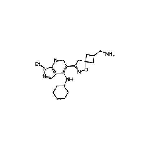 CCn1ncc2c(NC3CCCCC3)c(C3=NOC4(C3)CC(CN)C4)cnc21